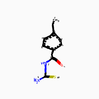 Cc1ccc(C(=O)NC(N)=S)cc1